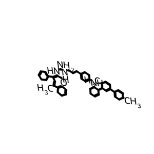 C/C1=C\C(C2=CC=CCC2)=C(\NC(N)NCCCC2=CC=C(NC3CCC=CC3C3C=C(C4=CCC(C)C=C4)C=CC3C)CC2)COC2=C1CCC=C2